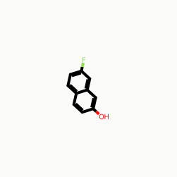 Oc1ccc2ccc(F)cc2c1